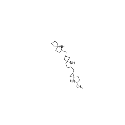 CC1CCC2(CC2CC2CCC3(CC(CC4CCC5(CCCC5)N4)C3)N2)N1